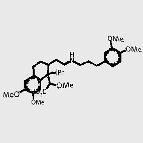 COc1ccc(CCCNCCC2CCc3cc(OC)c(OC)cc3C2(C(C)C)C(OC)C(=O)O)cc1OC